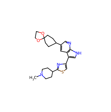 CN1CCC(c2nc(-c3c[nH]c4ncc(C5CCC6(CC5)OCCO6)cc34)cs2)CC1